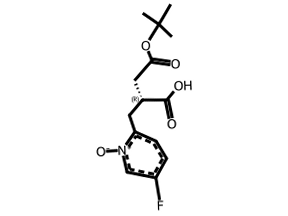 CC(C)(C)OC(=O)C[C@@H](Cc1ccc(F)c[n+]1[O-])C(=O)O